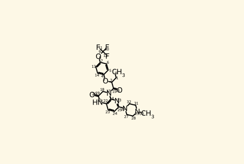 CCC(Oc1ccc(OC(F)(F)F)cc1)C(=O)N1CC(=O)Nc2ccc(N3CCN(C)CC3)nc21